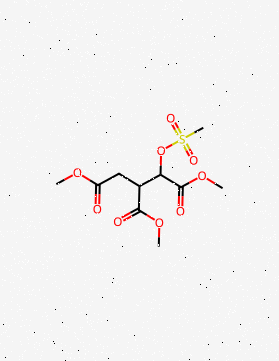 COC(=O)CC(C(=O)OC)C(OS(C)(=O)=O)C(=O)OC